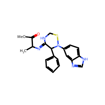 COC(=O)C(C)N=C1NCSN(c2ccc3[nH]cnc3c2)C1c1ccccc1